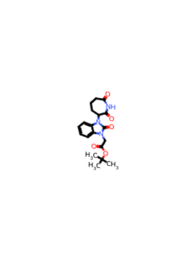 CC(C)(C)OC(=O)Cn1c(=O)n(C2CCCC(=O)NC2=O)c2ccccc21